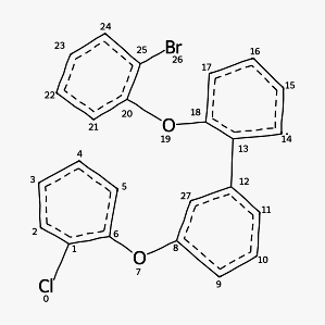 Clc1ccccc1Oc1cccc(-c2[c]cccc2Oc2ccccc2Br)c1